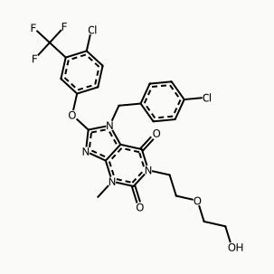 Cn1c(=O)n(CCOCCO)c(=O)c2c1nc(Oc1ccc(Cl)c(C(F)(F)F)c1)n2Cc1ccc(Cl)cc1